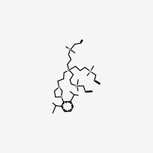 C=CC[Si](C)(C)CCC[Si](CCCN1CCN(c2c(C(C)C)cccc2C(C)C)C1)(CCC[Si](C)(C)CC=C)CCC[Si](C)(C)CC=C